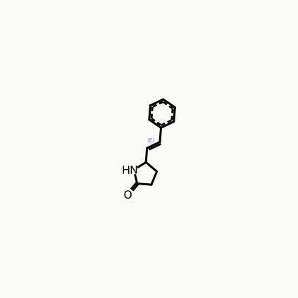 O=C1CCC(/C=C/c2ccccc2)N1